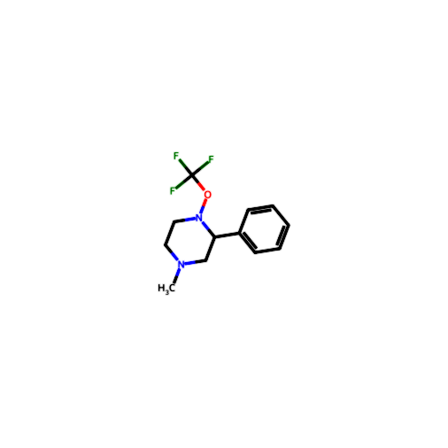 CN1CCN(OC(F)(F)F)C(c2ccccc2)C1